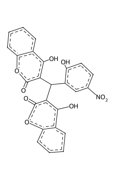 O=c1oc2ccccc2c(O)c1C(c1cc([N+](=O)[O-])ccc1O)c1c(O)c2ccccc2oc1=O